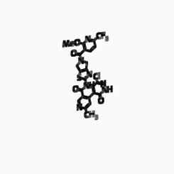 COc1nc(C(F)(F)F)ccc1C(=O)N1Cc2nc(NC(=O)c3cnc(C)cc3-c3cc(Cl)n[nH]c3=O)sc2C1